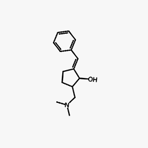 CN(C)CC1CC/C(=C\c2ccccc2)C1O